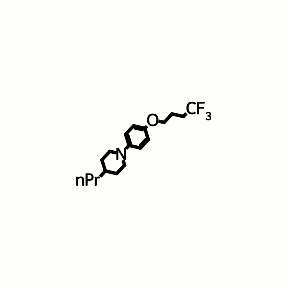 CCCC1CCN(c2ccc(OCCCC(F)(F)F)cc2)CC1